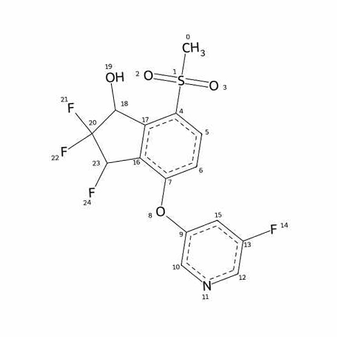 CS(=O)(=O)c1ccc(Oc2cncc(F)c2)c2c1C(O)C(F)(F)C2F